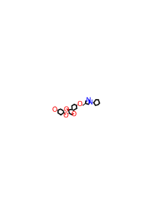 COc1ccc(Oc2coc3cc(OCc4cnn(-c5ccccc5)c4)ccc3c2=O)cc1